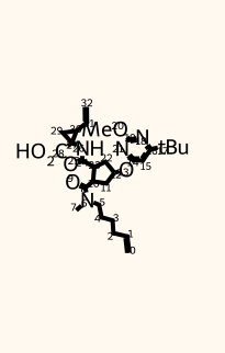 C=CCCCCN(C)C(=O)C1CC(Oc2cc(C(C)(C)C)nc(OC)n2)CC1C(=O)NC1(C(=O)O)CC1C=C